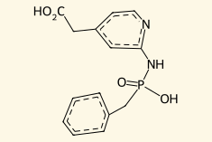 O=C(O)Cc1ccnc(NP(=O)(O)Cc2ccccc2)c1